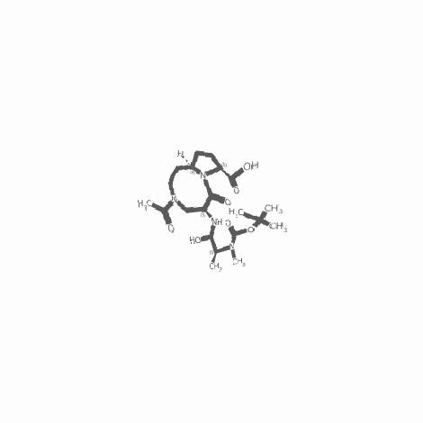 CC(=O)N1CC[C@H]2CC[C@@H](C(=O)O)N2C(=O)[C@@H](NC(O)[C@H](C)N(C)C(=O)OC(C)(C)C)C1